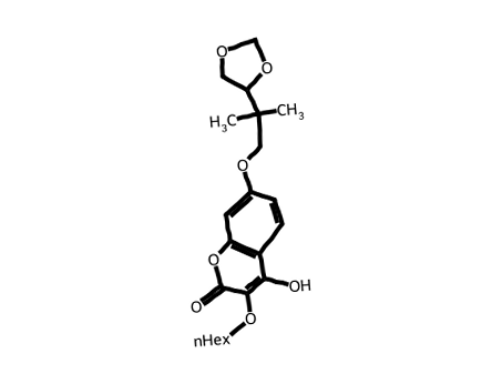 CCCCCCOc1c(O)c2ccc(OCC(C)(C)C3COCO3)cc2oc1=O